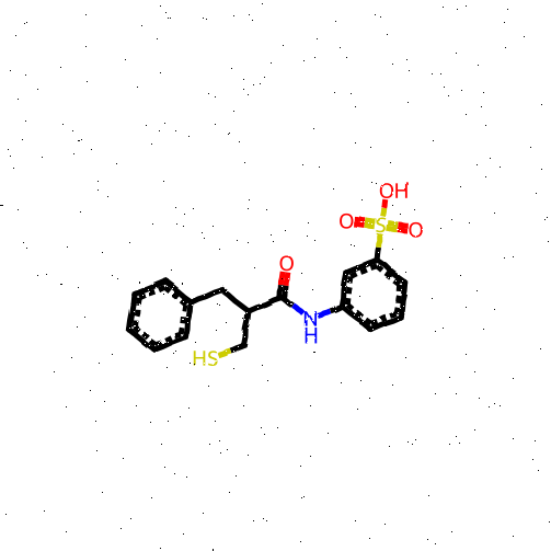 O=C(Nc1cccc(S(=O)(=O)O)c1)C(CS)Cc1ccccc1